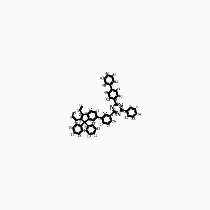 C=CC1=C(/C=C\C)C(c2ccccc2)(c2ccccc2)c2cc(-c3cccc(-c4nc(-c5ccccc5)nc(-c5ccc(-c6ccccc6)cc5)n4)c3)ccc21